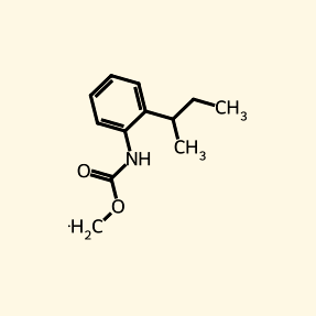 [CH2]OC(=O)Nc1ccccc1C(C)CC